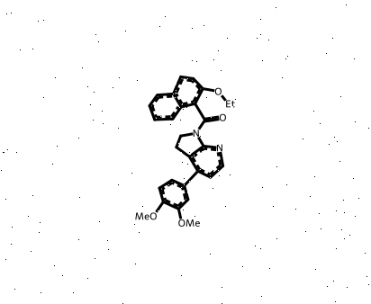 CCOc1ccc2ccccc2c1C(=O)N1CCc2c(-c3ccc(OC)c(OC)c3)ccnc21